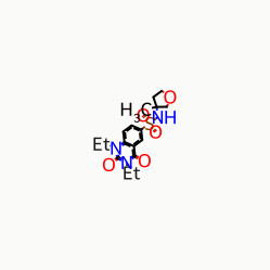 CCn1c(=O)c2cc(S(=O)(=O)NC3(C)CCOC3)ccc2n(CC)c1=O